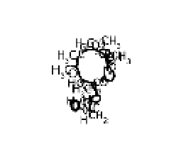 C=C(NNc1ccccc1)OC1CCC(/C=C(\C)C2OC(=O)C3CCCCN3C(=O)C(=O)C3(O)OC(C(OC)CC(C)C/C(C)=C/C(CC)C(=O)CC(O)C2C)C(OC)CC3C)CC1OC